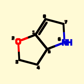 C1=C2OCCC2NC1